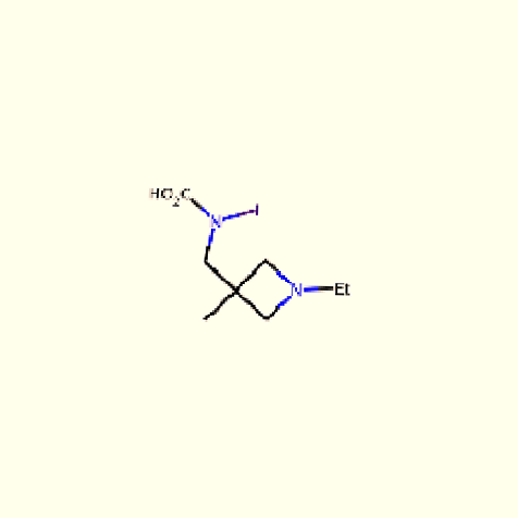 CCN1CC(C)(CN(I)C(=O)O)C1